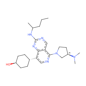 CCCC(C)Nc1ncc2c(N3CC[C@@H](N(C)C)C3)ncc([C@H]3CC[C@H](O)CC3)c2n1